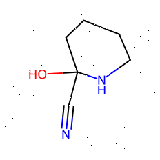 N#CC1(O)CCCCN1